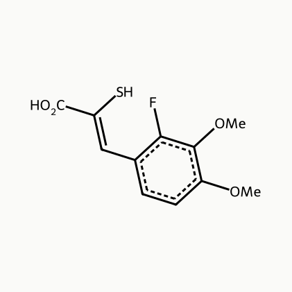 COc1ccc(/C=C(\S)C(=O)O)c(F)c1OC